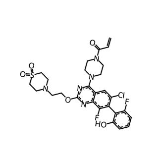 C=CC(=O)N1CCN(c2nc(OCCN3CCS(=O)(=O)CC3)nc3c(F)c(-c4c(O)cccc4F)c(Cl)cc23)CC1